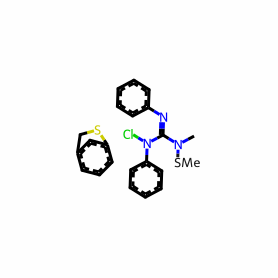 CSN(C)C(=Nc1ccccc1)N(Cl)c1ccccc1.c1cc2cc(c1)SC2